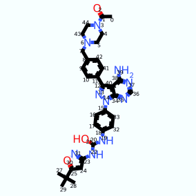 CC(=O)N1CCN(Cc2ccc(-c3nn(-c4ccc(NC(O)Nc5cc(C(C)(C)C)on5)cc4)c4ncnc(N)c34)cc2)CC1